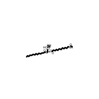 CCCCCCCCCCCCCC(=O)O[C@@H](COC(=O)CCCCCCCCCCCNC(C)=O)COP(=O)(O)O